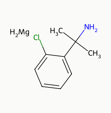 CC(C)(N)c1ccccc1Cl.[MgH2]